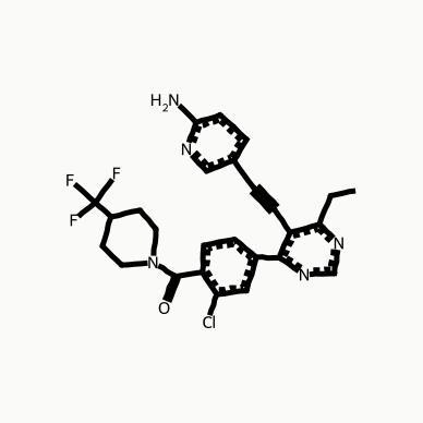 CCc1ncnc(-c2ccc(C(=O)N3CCC(C(F)(F)F)CC3)c(Cl)c2)c1C#Cc1ccc(N)nc1